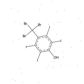 Oc1c(I)c(I)c(C(Br)(Br)Br)c(I)c1I